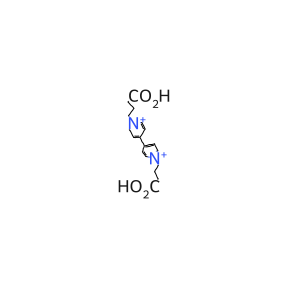 O=C(O)CCC[n+]1ccc(-c2cc[n+](CCCC(=O)O)cc2)cc1